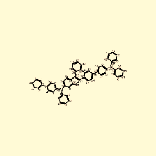 C1=CC(c2ccc(N(c3ccccc3)c3ccc4c(c3)sc3c5ccc(-c6ccc(N(c7ccccc7)c7ccccc7)cc6)cc5c5ccccc5c43)cc2)=CCC1